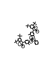 Cc1cc(C2C(=O)Oc3c2cc(C(C)(C)C)cc3C(C)(C)C)ccc1OP(Oc1ccccc1)Oc1c(C)cc(C2C(=O)Oc3c2cc(C(C)(C)C)cc3C(C)(C)C)cc1C